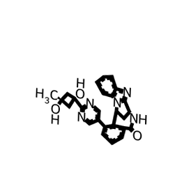 C[C@]1(O)C[C@](O)(c2ncc(-c3cccc4c3C3CC(NC4=O)c4nc5ccccc5n43)cn2)C1